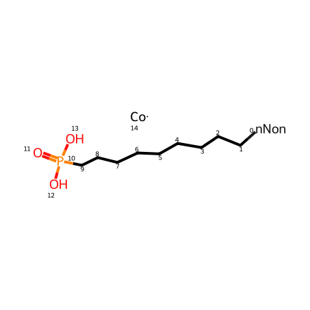 CCCCCCCCCCCCCCCCCCP(=O)(O)O.[Co]